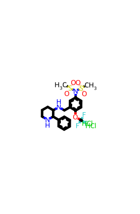 CS(=O)(=O)N(c1ccc(OC(F)(F)F)c(CNC2CCCNC2c2ccccc2)c1)S(C)(=O)=O.Cl.Cl